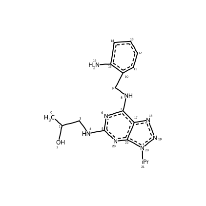 CC(O)CNc1nc(NCc2ccccc2N)c2nnn(C(C)C)c2n1